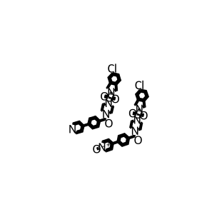 O=C(c1ccc(-c2cc[n+]([O-])cc2)cc1)N1CCN(S(=O)(=O)N2Cc3ccc(Cl)cc3C2)CC1.O=C(c1ccc(-c2ccncc2)cc1)N1CCN(S(=O)(=O)N2Cc3ccc(Cl)cc3C2)CC1